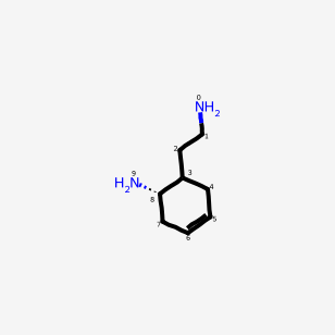 NCCC1CC=CC[C@@H]1N